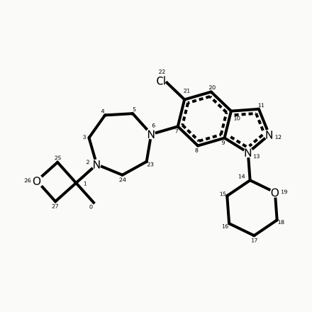 CC1(N2CCCN(c3cc4c(cnn4C4CCCCO4)cc3Cl)CC2)COC1